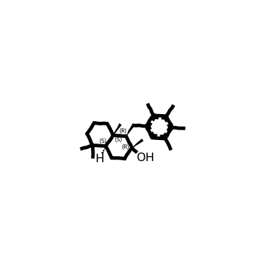 Cc1cc(C[C@@H]2[C@@]3(C)CCCC(C)(C)[C@@H]3CC[C@@]2(C)O)c(C)c(C)c1C